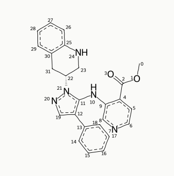 COC(=O)c1ccncc1Nc1c(-c2ccccc2)cnn1[C@H]1CNc2ccccc2C1